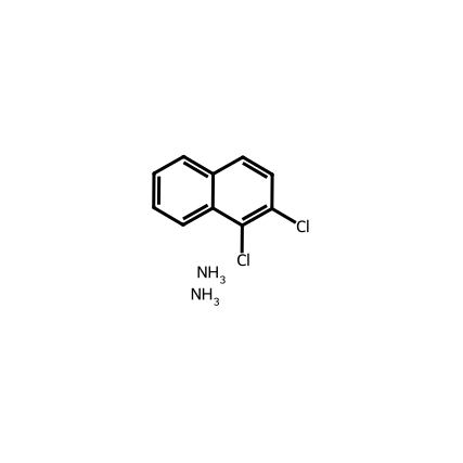 Clc1ccc2ccccc2c1Cl.N.N